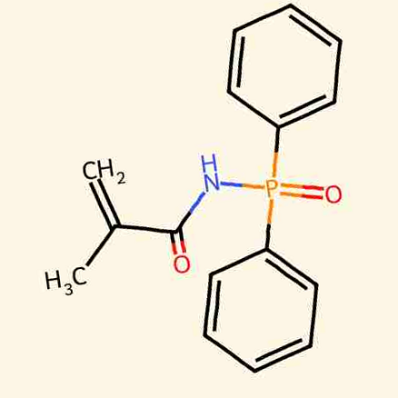 C=C(C)C(=O)NP(=O)(c1ccccc1)c1ccccc1